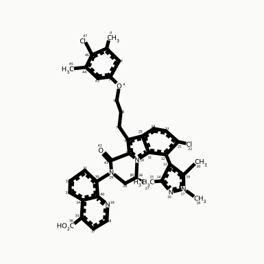 Cc1cc(OCCCc2c3n(c4c(-c5c(C)nn(C)c5C)c(Cl)ccc24)[C@H](C)CN(c2cccc4c(C(=O)O)ccnc24)C3=O)cc(C)c1Cl